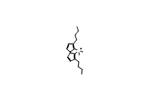 CCCCC1=[C]([Ti]([CH3])([CH3])(=[SiH2])[C]2=C(CCCC)C=CC2)CC=C1